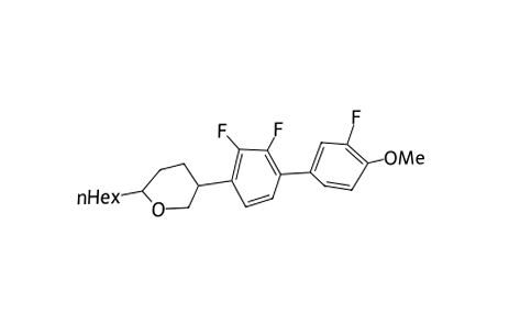 CCCCCCC1CCC(c2ccc(-c3ccc(OC)c(F)c3)c(F)c2F)CO1